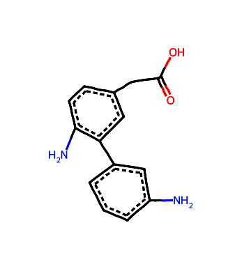 Nc1cccc(-c2cc(CC(=O)O)ccc2N)c1